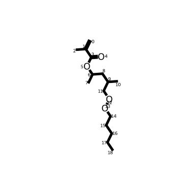 C=C(C)C(=O)OC(C)CC(C)COOCCCCC